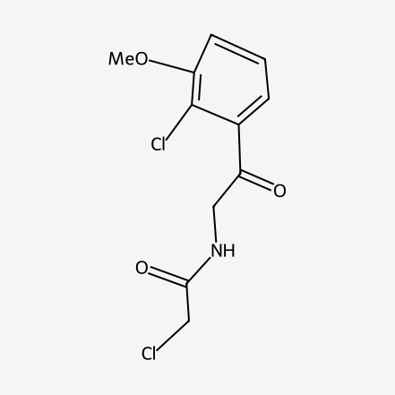 COc1cccc(C(=O)CNC(=O)CCl)c1Cl